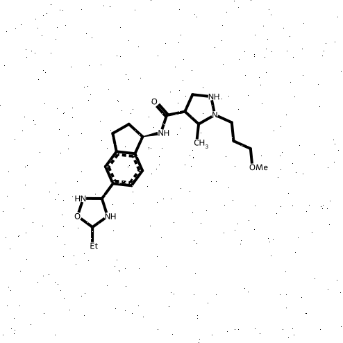 CCC1NC(c2ccc3c(c2)CC[C@H]3NC(=O)C2CNN(CCCOC)C2C)NO1